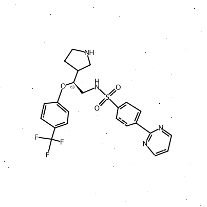 O=S(=O)(NC[C@@H](Oc1ccc(C(F)(F)F)cc1)C1CCNC1)c1ccc(-c2ncccn2)cc1